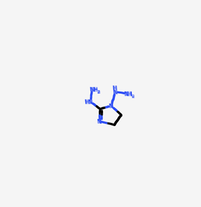 NNC1=NCCN1NN